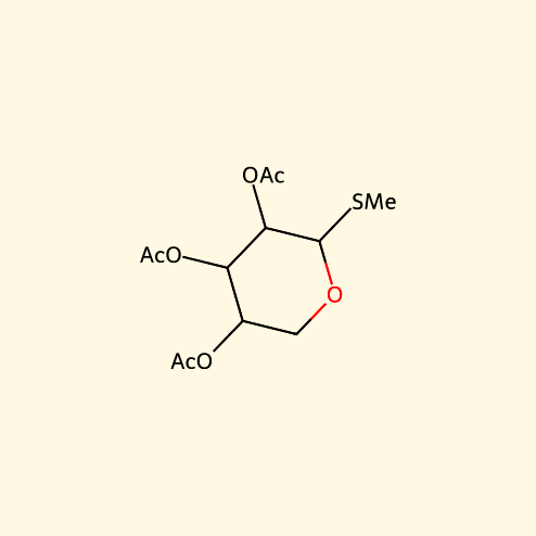 CSC1OCC(OC(C)=O)C(OC(C)=O)C1OC(C)=O